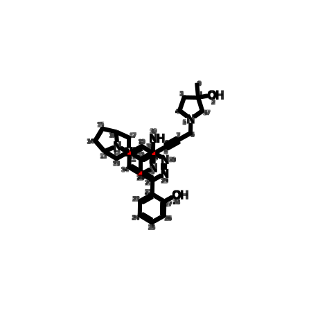 CC1(O)CCN(CC#Cc2cc(N3C4CCC3CN(c3cc(-c5ccccc5O)nnc3N)C4)ccn2)C1